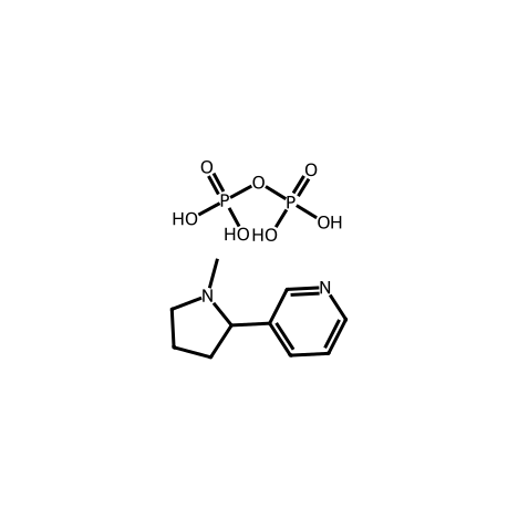 CN1CCCC1c1cccnc1.O=P(O)(O)OP(=O)(O)O